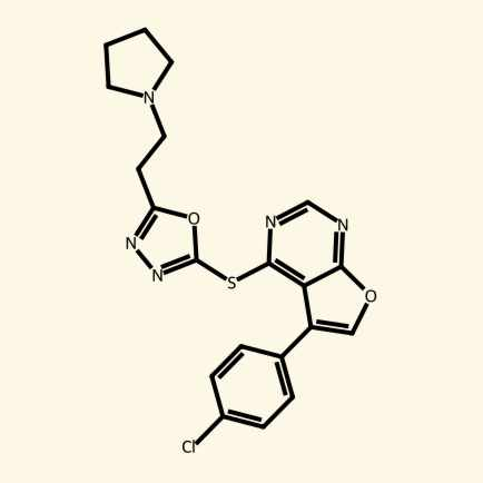 Clc1ccc(-c2coc3ncnc(Sc4nnc(CCN5CCCC5)o4)c23)cc1